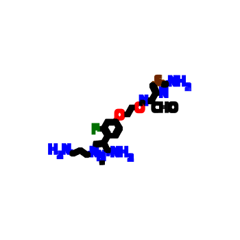 C[n+]1c(N)c(-c2ccc(OCCO/N=C(\C=O)c3csc(N)n3)cc2F)cn1CCCN